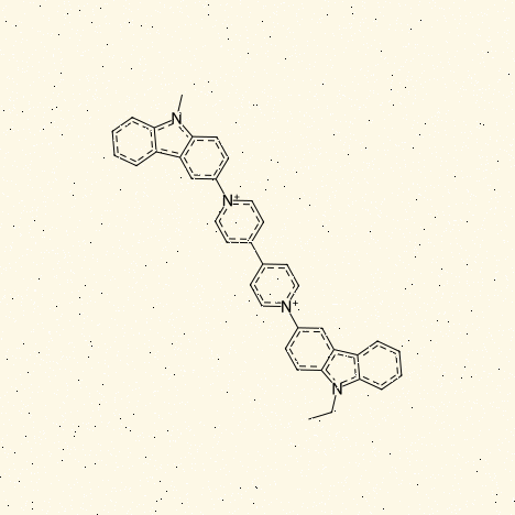 CCn1c2ccccc2c2cc(-[n+]3ccc(-c4cc[n+](-c5ccc6c(c5)c5ccccc5n6C)cc4)cc3)ccc21